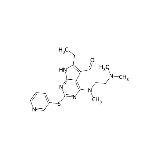 CCc1[nH]c2nc(Sc3cccnc3)nc(N(C)CCN(C)C)c2c1C=O